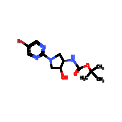 CC(C)(C)OC(=O)N[C@H]1CN(c2ncc(Br)cn2)C[C@@H]1O